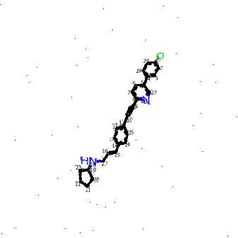 Clc1ccc(-c2ccc(C#Cc3ccc(C=CCNC4CCCC4)cc3)nc2)cc1